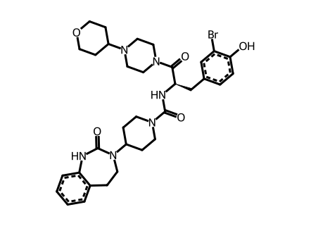 O=C(N[C@H](Cc1ccc(O)c(Br)c1)C(=O)N1CCN(C2CCOCC2)CC1)N1CCC(N2CCc3ccccc3NC2=O)CC1